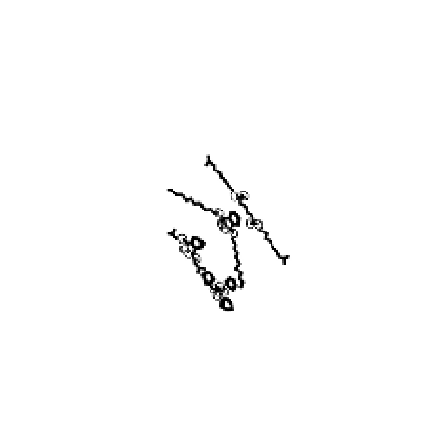 CC(C)CCCCCCCOC(=O)CCCCC(=O)OCCCCCCCC(C)C.CC(C)COC(=O)c1ccccc1C(=O)OCC(C)C.CCCCCCCCCCCOC(=O)c1ccccc1C(=O)OCCCCCCCCCCC.O=P(Oc1ccccc1)(Oc1ccccc1)Oc1ccccc1